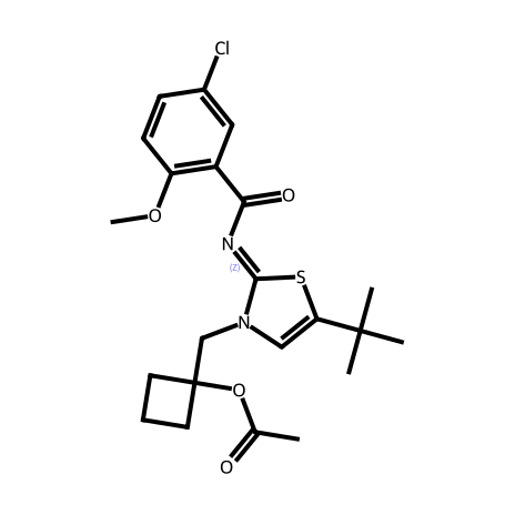 COc1ccc(Cl)cc1C(=O)/N=c1\sc(C(C)(C)C)cn1CC1(OC(C)=O)CCC1